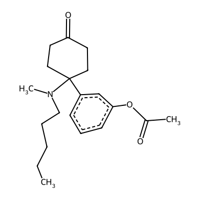 CCCCCN(C)C1(c2cccc(OC(C)=O)c2)CCC(=O)CC1